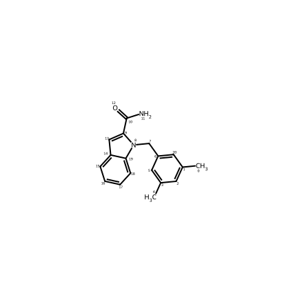 Cc1cc(C)cc(Cn2c(C(N)=O)cc3ccccc32)c1